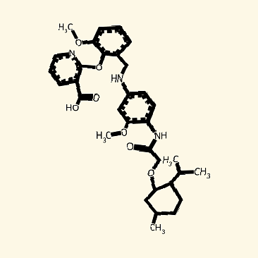 COc1cc(NCc2cccc(OC)c2Oc2ncccc2C(=O)O)ccc1NC(=O)COC1CC(C)CCC1C(C)C